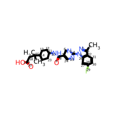 Cc1nn(-c2ncc(C(=O)NC3CCC(C(C)(C)CC(=O)O)CC3)cn2)c2cc(F)ccc12